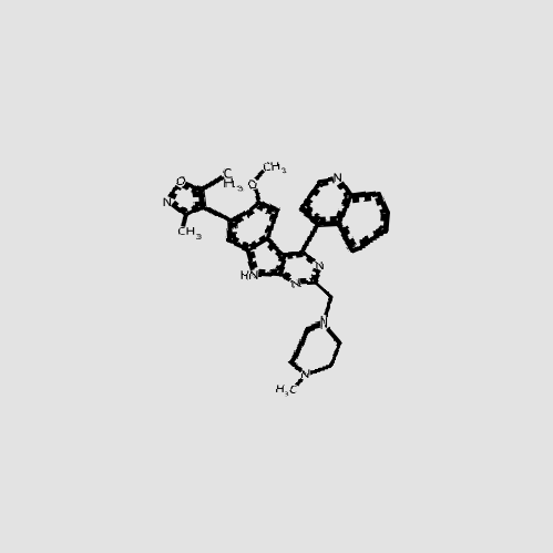 COc1cc2c(cc1-c1c(C)noc1C)[nH]c1nc(CN3CCN(C)CC3)nc(-c3ccnc4ccccc34)c12